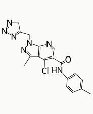 Cc1ccc(NC(=O)c2cnc3c(c(C)nn3CC3=NN=NC3)c2Cl)cc1